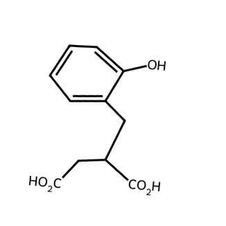 O=C(O)CC(Cc1ccccc1O)C(=O)O